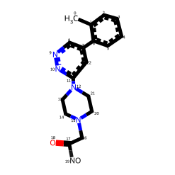 Cc1ccccc1-c1cnnc(N2CCN(CC(=O)N=O)CC2)c1